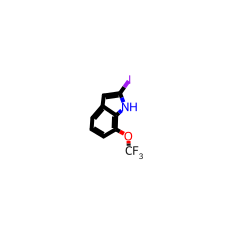 FC(F)(F)Oc1cccc2cc(I)[nH]c12